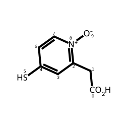 O=C(O)Cc1cc(S)cc[n+]1[O-]